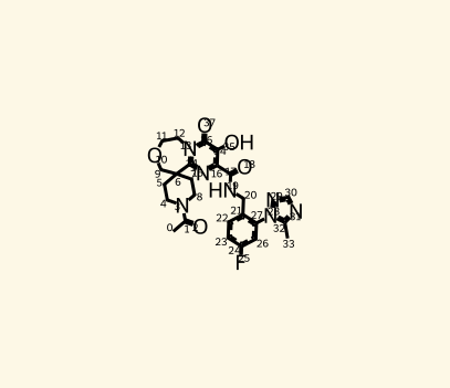 CC(=O)N1CCC2(CC1)COCCn1c2nc(C(=O)NCc2ccc(F)cc2-n2ncnc2C)c(O)c1=O